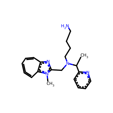 CC(c1ccccn1)N(CCCCN)Cc1nc2c(n1C)C=C=CC=C2